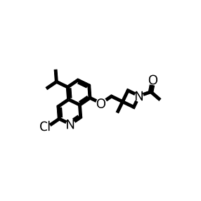 CC(=O)N1CC(C)(COc2ccc(C(C)C)c3cc(Cl)ncc23)C1